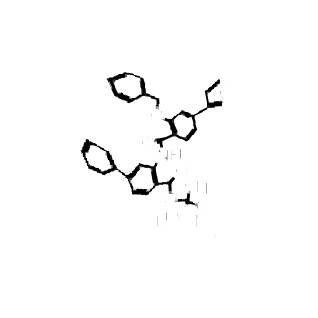 CC(C)(C)OC(=O)c1ccc(-c2ccccc2)cc1NC(=O)c1ccc(-c2ccoc2)cc1OCc1ccccc1